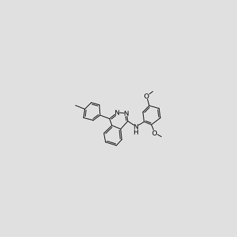 COc1ccc(OC)c(Nc2nnc(-c3ccc(C)cc3)c3ccccc23)c1